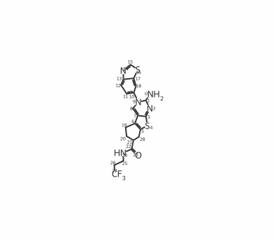 NC1N=c2sc3c(c2=CN1c1ccc2ncsc2c1)CCC(C(=O)NCCC(F)(F)F)C3